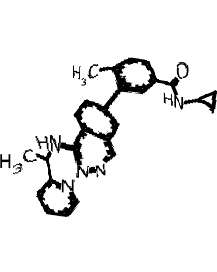 Cc1ccc(C(=O)NC2CC2)cc1-c1ccc2c(NC(C)c3ccccn3)nncc2c1